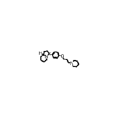 c1cc([C@@H]2CC[C@H]3CCCCN32)ccc1OCCCN1CCCCC1